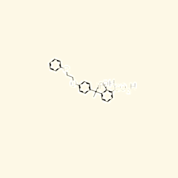 CC(C)C(C)(c1ccc(OCCOc2ccccc2)cc1)c1cccc(C(=O)O)c1O